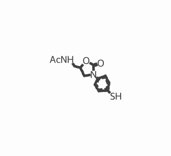 CC(=O)NCC1CN(c2ccc(S)cc2)C(=O)O1